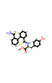 COC(=O)[C@H](Cc1ccc(O)cc1)NC(=S)c1ccccc1-c1ccccc1C(N)=S